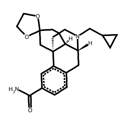 NC(=O)c1ccc2c(c1)[C@]13CCN(CC4CC4)[C@H](C2)[C@@H]1CCC1(C3)OCCO1